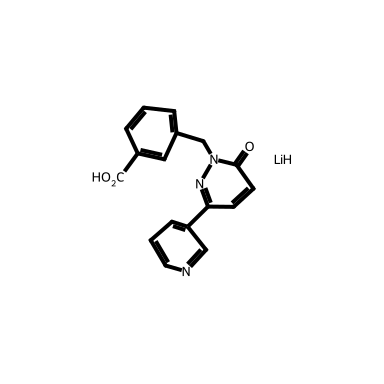 O=C(O)c1cccc(Cn2nc(-c3cccnc3)ccc2=O)c1.[LiH]